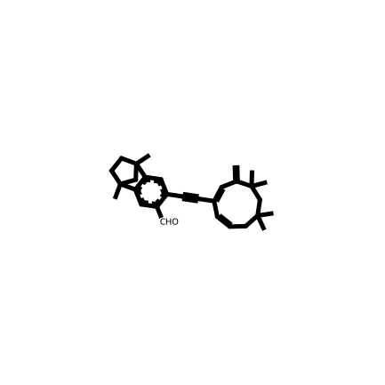 C=C1/C=C(C#Cc2cc3c(cc2C=O)C2(C)CCC3(C)C2)\C=C/CC(C)(C)CC1(C)C